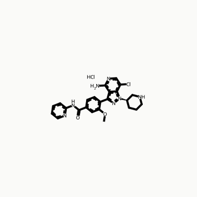 COc1cc(C(=O)Nc2ccccn2)ccc1-c1nn([C@@H]2CCCNC2)c2c(Cl)cnc(N)c12.Cl